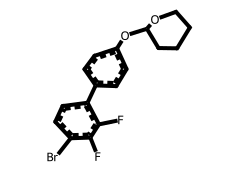 Fc1c(Br)ccc(-c2ccc(OC3CCCCO3)cc2)c1F